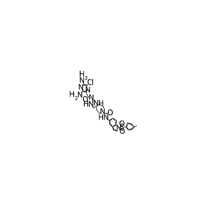 Cc1ccc(S(=O)(=O)n2ccc3cc(NC(=O)N4CCC5(CC4)CN/C(=N\C(=O)c4nc(Cl)c(N)nc4N)N5)ccc32)cc1